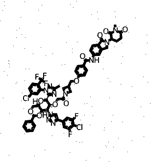 Cc1nc([C@@H]2O[C@@H]3COC(c4ccccc4)O[C@@H]3[C@H](n3cc(-c4cc(F)c(Cl)c(F)c4)nn3)[C@H]2OCC(=O)N2CC(COc3ccc(C(=O)Nc4ccc5c(c4)CN(C4CCC(=O)N(C)C4=O)C5=O)cc3)C2)n(-c2cc(Cl)ccc2C(F)(F)F)n1